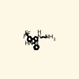 NCCCN[C@H]1CC2c3cc(C(F)(F)F)ccc3N[C@@H](c3ccccc3)[C@@H]2C1